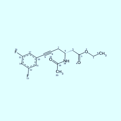 CCOC(=O)C[C@@H](CC#Cc1cc(F)cc(F)c1)NC(C)=O